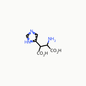 NC(C(=O)O)C(C(=O)O)c1cnc[nH]1